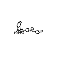 O=C(Cc1ccc(F)cc1)N1CCC(C(O)CC2c3ccccc3C3=CNCN32)CC1